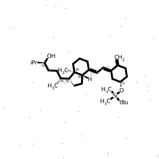 C=C1CC[C@H](O[Si](C)(C)C(C)(C)C)C/C1=C\C=C1/CCC[C@]2(C)[C@@H]([C@H](C)CC[C@H](O)C(C)C)CC[C@@H]12